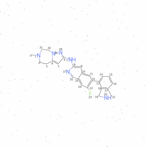 CN1CCc2cc(Nc3cc4cc(-c5cccc6c5CNC6)c(F)cc4cn3)nn2CC1